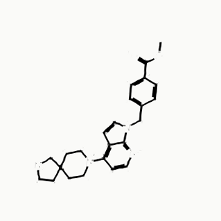 COC(=O)c1ccc(Cn2ccc3c(N4CCC5(CCNC5)CC4)ccnc32)cc1